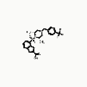 C[C@@H]1CN(Cc2ccc(C(F)(F)F)cc2)C[C@H](C)N1S(=O)(=O)c1cccc2c1CC(C(=O)O)C2